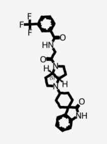 O=C(NCC(=O)N1CC[C@H]2[C@@H]1CCN2C1CCC2(CC1)C(=O)Nc1ccccc12)c1cccc(C(F)(F)F)c1